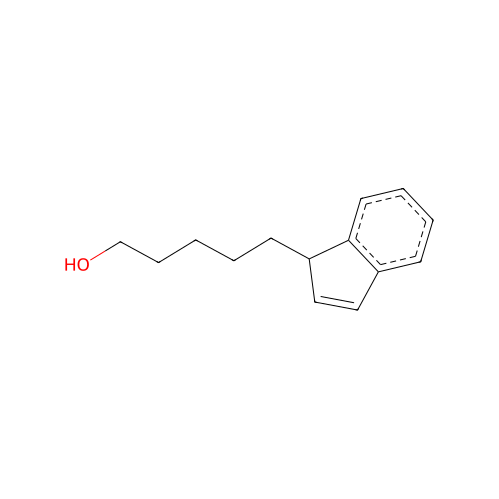 OCCCCCC1C=Cc2ccccc21